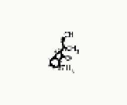 C#CCC(C)C1Cc2cccc(C)c2C1=O